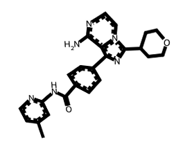 Cc1ccnc(NC(=O)c2ccc(-c3nc(C4CCOCC4)n4ccnc(N)c34)cc2)c1